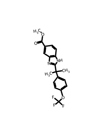 COC(=O)c1ccc2[nH]c(C(C)(C)c3ccc(OC(F)(F)F)cc3)nc2c1